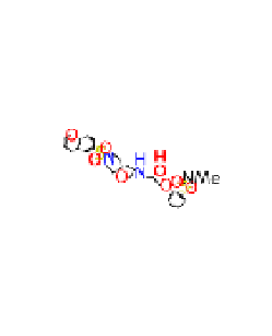 CNS(=O)(=O)c1ccccc1OCC(O)CN[C@@H]1COC2(CCN(S(=O)(=O)c3ccc4c(c3)CCCO4)CC2)C1